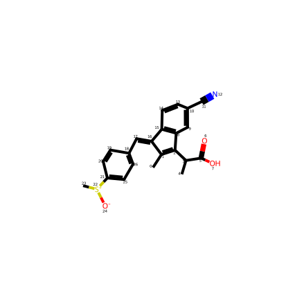 CC1=C(C(C)C(=O)O)c2cc(C#N)ccc2/C1=C/c1ccc([S+](C)[O-])cc1